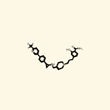 NC(=O)c1ccc(CCCN2CCC(CNC3CC3c3ccc(-c4ccc(C(F)(F)F)nc4)cc3)CC2)cc1O